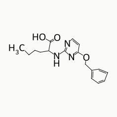 CCCCC(Nc1nccc(OCc2ccccc2)n1)C(=O)O